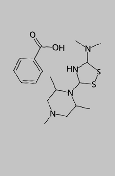 CC1CN(C)CC(C)N1C1NC(N(C)C)SS1.O=C(O)c1ccccc1